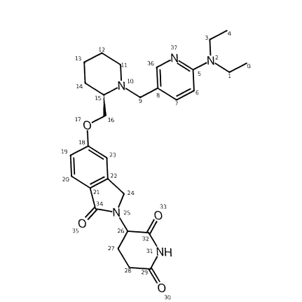 CCN(CC)c1ccc(CN2CCCC[C@@H]2COc2ccc3c(c2)CN(C2CCC(=O)NC2=O)C3=O)cn1